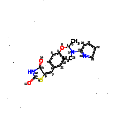 CC(Oc1ccc(C=C2SC(=O)NC2=O)cc1)N(C)c1ccccn1